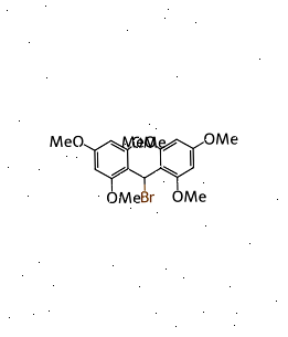 COc1cc(OC)c(C(Br)c2c(OC)cc(OC)cc2OC)c(OC)c1